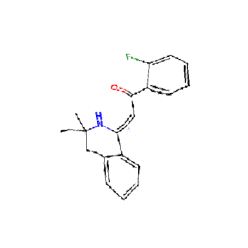 CC1(C)Cc2ccccc2/C(=C/C(=O)c2ccccc2F)N1